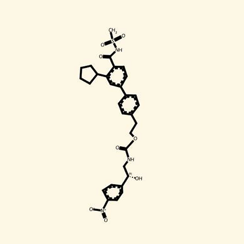 CS(=O)(=O)NC(=O)c1ccc(-c2ccc(CCOC(=O)NC[C@H](O)c3ccc([N+](=O)[O-])cc3)cc2)cc1C1CCCC1